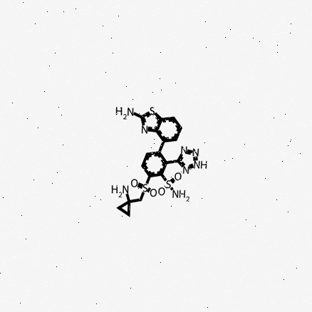 Nc1nc2c(-c3ccc(S(=O)(=O)CC4(N)CC4)c(S(N)(=O)=O)c3-c3nn[nH]n3)cccc2s1